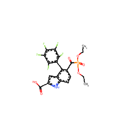 CCOP(=O)(OCC)C(=O)c1ccc2[nH]c(C(=O)O)cc2c1-c1c(F)c(F)c(F)c(F)c1F